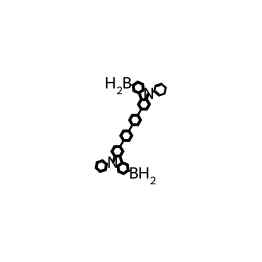 Bc1ccc2c(c1)c1cc(-c3ccc(-c4ccc(-c5ccc6c(c5)c5cc(B)ccc5n6-c5ccccc5)cc4)cc3)ccc1n2C1=CCCC=C1